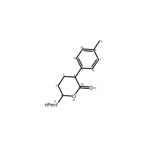 CCCCCC1CCC(c2ccc(C)cc2)C(=O)O1